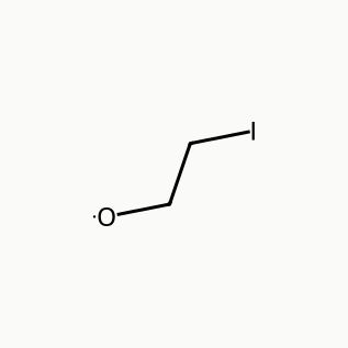 [O]CCI